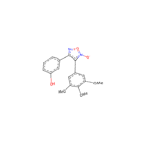 COc1cc(-c2c(-c3cccc(O)c3)no[n+]2[O-])cc(OC)c1OC